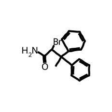 CC(c1ccccc1)(c1ccccc1)C(Br)C(N)=O